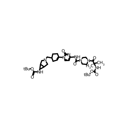 CC(C)(C)OC(=O)NC1C2CN(CC3CC=C(n4ccc(NC(=O)N5CCN(C(=O)C(C)(C)NC(=O)OC(C)(C)C)CC5)nc4=O)CC3)CC21